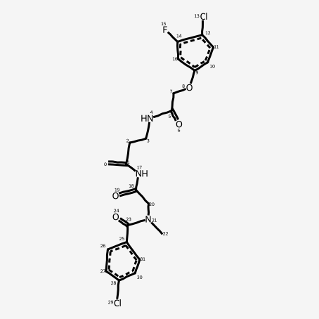 C=C(CCNC(=O)COc1ccc(Cl)c(F)c1)NC(=O)CN(C)C(=O)c1ccc(Cl)cc1